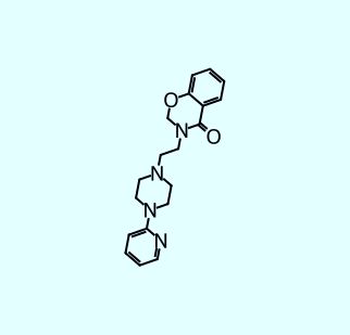 O=C1c2ccccc2OCN1CCN1CCN(c2ccccn2)CC1